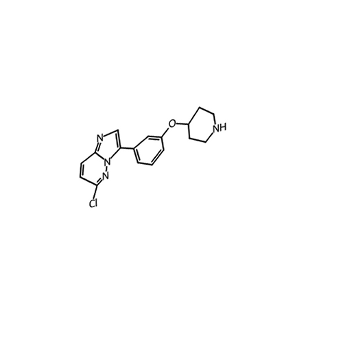 Clc1ccc2ncc(-c3cccc(OC4CCNCC4)c3)n2n1